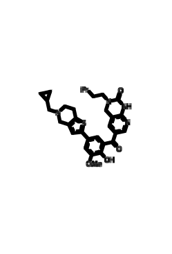 COc1cc(-c2cc3c(s2)CCN(CC2CC2)C3)cc(C(=O)c2cnc3c(c2)CN(CCC(C)C)C(=O)N3)c1O